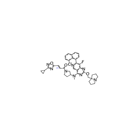 CN(c1nc(OCC23CCCN2CCC3)nc2c(F)c(-c3cccc4cccc(Cl)c34)ncc12)C1CCN(C(=O)/C=C/c2nc(C3CC3)no2)C1